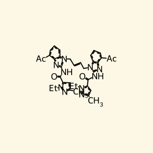 CCn1nc(C)cc1C(=O)Nc1nc2c(C(C)=O)cccc2n1C/C=C/Cn1c(NC(=O)c2cc(C)nn2CC)nc2c(C(C)=O)cccc21